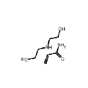 C=CC(N)=O.OCCNCCO